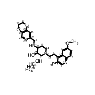 COc1ccc2ncc(F)c(CCN3CCC(NCc4cc5c(cn4)OCCO5)C(O)C3)c2c1.Cl.Cl.Cl.Cl